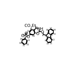 CCOC(=O)C(NC(=O)OCC1c2ccccc2-c2ccccc21)c1ccc(OS(=O)(=O)c2ccccc2)cc1